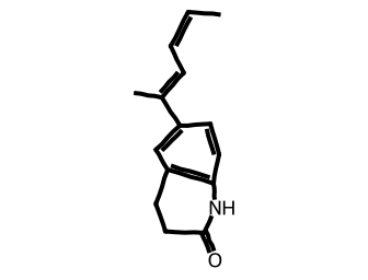 C/C=C\C=C(/C)c1ccc2c(c1)CCC(=O)N2